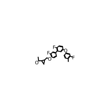 CC(=O)C1CC1COc1ccc(-c2cc(Oc3ccc(C)c(F)c3)ccc2F)cc1F